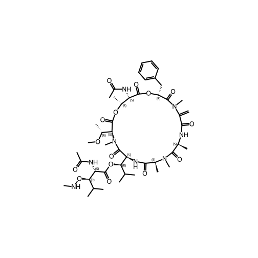 C=C1C(=O)N[C@@H](C)C(=O)N(C)[C@@H](C)C(=O)N[C@@H]([C@H](OC(=O)[C@@H](NC(C)=O)[C@H](ONC)C(C)C)C(C)C)C(=O)N(C)[C@@H]([C@@H](C)OC)C(=O)O[C@H](C)[C@H](NC(C)=O)C(=O)O[C@H](Cc2ccccc2)C(=O)N1C